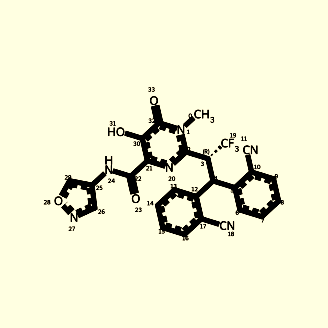 Cn1c([C@@H](C(c2ccccc2C#N)c2ccccc2C#N)C(F)(F)F)nc(C(=O)Nc2cnoc2)c(O)c1=O